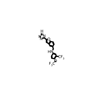 FC(F)(F)Oc1ccc(NCc2ccc3oc(-c4nn[nH]n4)cc3c2)cc1C(F)(F)F